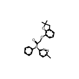 Cc1ccc(N(C(=O)COc2cccc3c2OC(C)(C)C3)c2ccccc2)nn1